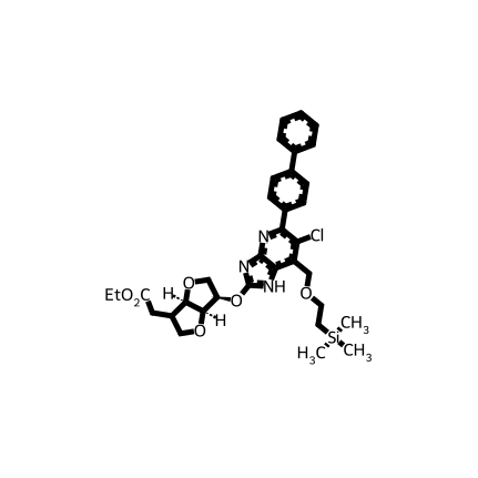 CCOC(=O)CC1CO[C@H]2[C@@H]1OC[C@H]2Oc1nc2nc(-c3ccc(-c4ccccc4)cc3)c(Cl)c(COCC[Si](C)(C)C)c2[nH]1